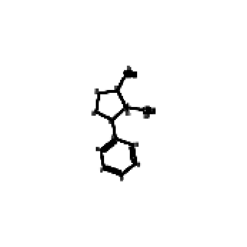 CC(C)(C)C1CCC(c2ccccc2)N1C(C)(C)C